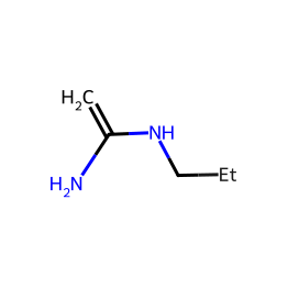 C=C(N)NCCC